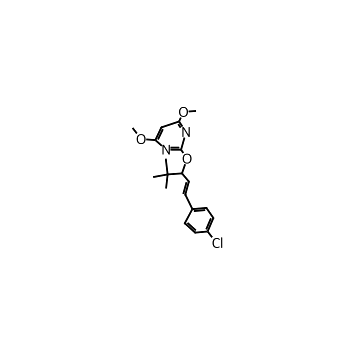 COc1cc(OC)nc(OC(/C=C/c2ccc(Cl)cc2)C(C)(C)C)n1